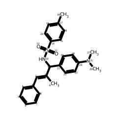 C/C(=C\c1ccccc1)C(NS(=O)(=O)c1ccc(C)cc1)c1ccc(N(C)C)cc1